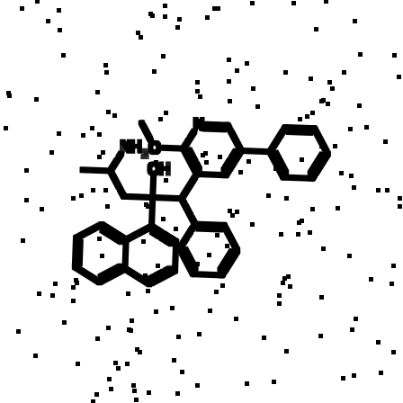 COc1ncc(-c2ccccc2)cc1C(c1ccccc1)C(O)(CC(C)N)c1cccc2ccccc12